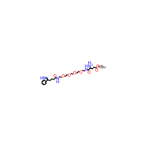 CC(C)(C)OC(=O)CC[C@@H](N)C(=O)NCCOCCOCCOCCOCCNC(=O)CCCc1c[nH]c2ccccc12